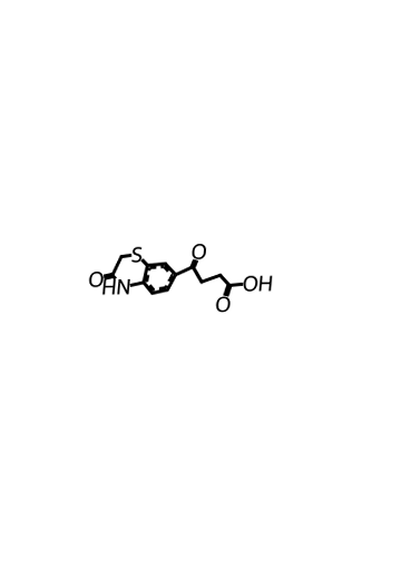 O=C(O)CCC(=O)c1ccc2c(c1)SCC(=O)N2